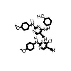 COC1CCC(Nc2ncc(C#N)c(Cl)n2)CC1.COC1CCC(Nc2ncc(C#N)c(N[C@H]3CCC[C@H](O)C3)n2)CC1